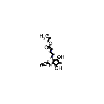 C=CCOC(=O)/C=C/C=C/[C@H]1[C@@H](CC=C=O)[C@H](O)C[C@@H]1O